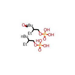 C=O.CCCCC(CC)COP(=O)(O)O.CCCCC(CC)COP(=O)(O)O